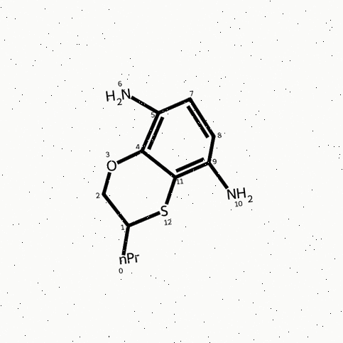 CCCC1COc2c(N)ccc(N)c2S1